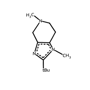 CN1CCc2c(nc(C(C)(C)C)n2C)C1